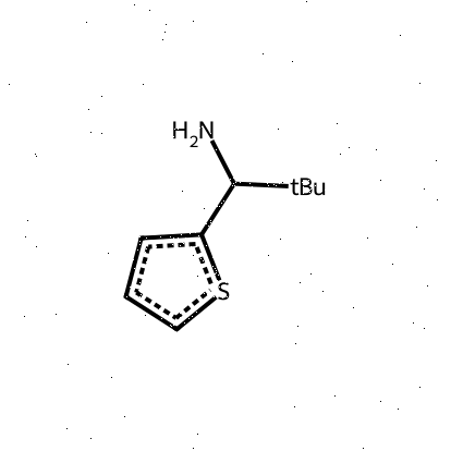 CC(C)(C)C(N)c1cccs1